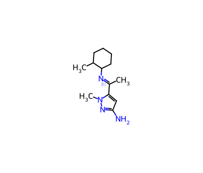 C/C(=N\C1CCCCC1C)c1cc(N)nn1C